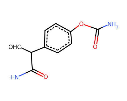 [NH]C(=O)C(C=O)c1ccc(OC(N)=O)cc1